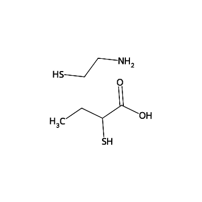 CCC(S)C(=O)O.NCCS